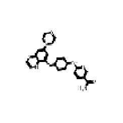 NC(=O)c1ccc(NC2CCC(Oc3cc(N4CCOCC4)cc4nccnc34)CC2)nc1